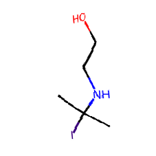 CC(C)(I)NCCO